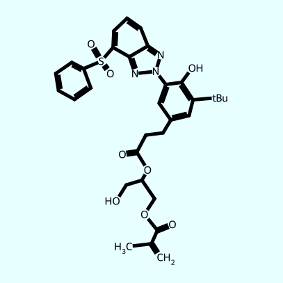 C=C(C)C(=O)OCC(CO)OC(=O)CCc1cc(-n2nc3cccc(S(=O)(=O)c4ccccc4)c3n2)c(O)c(C(C)(C)C)c1